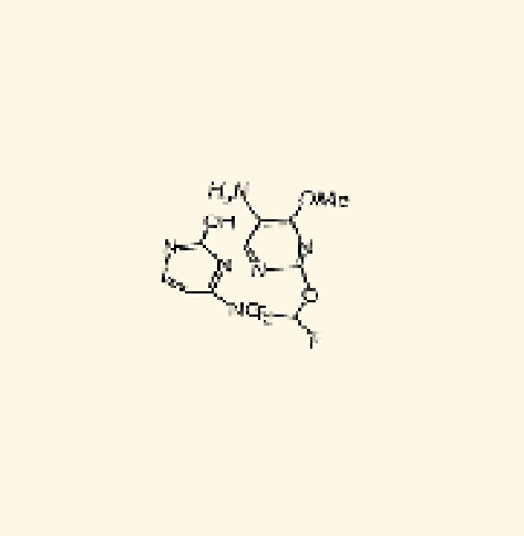 COc1nc(OC(F)F)ncc1N.O=[N+]([O-])c1ccnc(O)n1